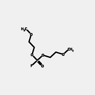 COCCOP(=O)(F)OCCOC